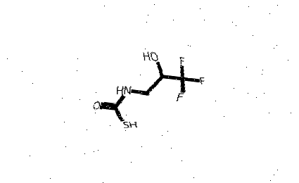 O=C(S)NCC(O)C(F)(F)F